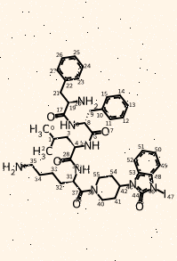 CC(C)C[C@@H](NC(=O)[C@@H](Cc1ccccc1)NC(=O)[C@H](N)Cc1ccccc1)C(=O)N[C@H](CCCCN)C(=O)N1CCC(n2c(=O)n(I)c3ccccc32)CC1